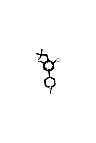 CN1CCC(c2cc(Cl)c3c(c2)SC(C)(C)C3)CC1